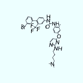 Cc1cc(Oc2ccnc(NCCCCN(C)C)n2)ccc1NC(=O)Nc1ccc(-c2cccc(Br)c2)c(C(F)(F)F)c1